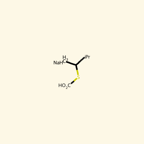 CC(C)C(C)SC(=O)O.[NaH]